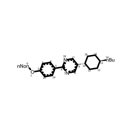 CCCCCCCCCOc1ccc(-c2ncc([C@H]3CC[C@H](CCCC)CC3)cn2)cc1